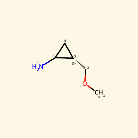 COC[C@H]1CC1N